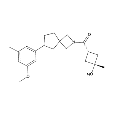 COc1cc(C)cc(C2CCC3(C2)CN(C(=O)[C@H]2C[C@@](C)(O)C2)C3)c1